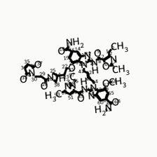 CCc1nc(C)oc1C(=O)Nc1nc2cc(C(N)=O)cc(OCCC3CN(C(=O)CCN4C(=O)C=CC4=O)C3)c2n1CC=CCn1c(NC(=O)c2cc(C)nn2CC)nc2cc(C(N)=O)cc(OC)c21